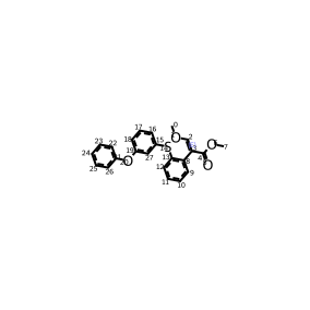 CO/C=C(/C(=O)OC)c1ccccc1Sc1cccc(Oc2ccccc2)c1